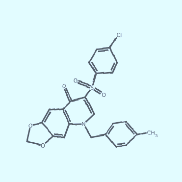 Cc1ccc(Cn2cc(S(=O)(=O)c3ccc(Cl)cc3)c(=O)c3cc4c(cc32)OCO4)cc1